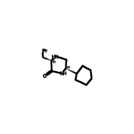 CC(C)C[C@@H]1NC[C@H](C2CCCCC2)NC1=O